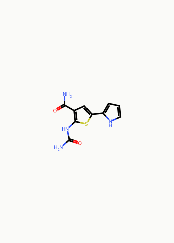 NC(=O)Nc1sc(-c2ccc[nH]2)cc1C(N)=O